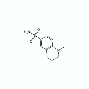 CN1CCCc2cc(S(N)(=O)=O)ccc21